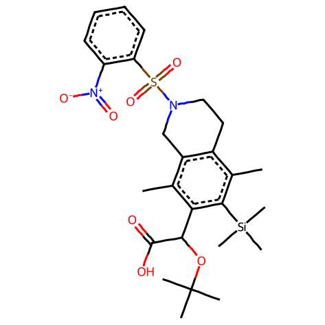 Cc1c2c(c(C)c([Si](C)(C)C)c1C(OC(C)(C)C)C(=O)O)CCN(S(=O)(=O)c1ccccc1[N+](=O)[O-])C2